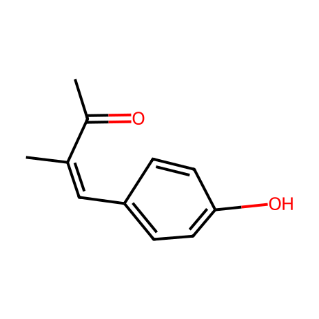 CC(=O)C(C)=Cc1ccc(O)cc1